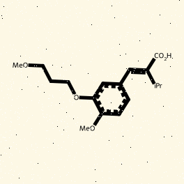 COCCCOc1cc(C=C(C(=O)O)C(C)C)ccc1OC